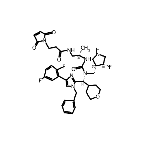 C[C@@H](CNC(=O)CCN1C(=O)C=CC1=O)NC(=O)N(C[C@@H]1CNC[C@@H]1F)[C@@H](c1nc(-c2cc(F)ccc2F)cn1Cc1ccccc1)C1CCOCC1